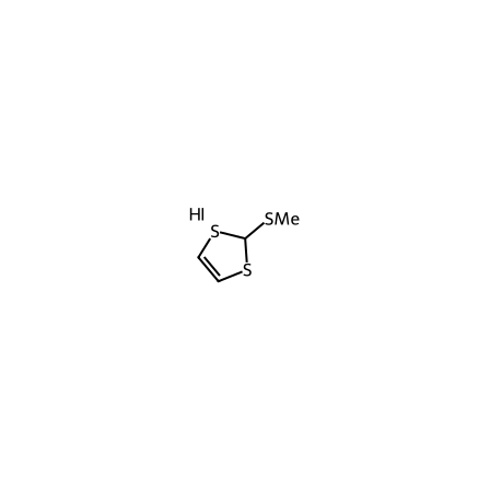 CSC1SC=CS1.I